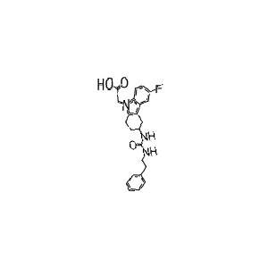 O=C(O)Cn1c2c(c3cc(F)ccc31)CC(NC(=O)NCCc1ccccc1)CC2